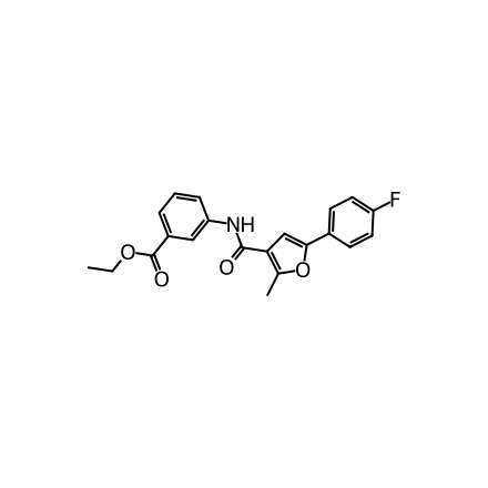 CCOC(=O)c1cccc(NC(=O)c2cc(-c3ccc(F)cc3)oc2C)c1